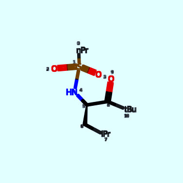 CCCS(=O)(=O)N[C@H](CC(C)C)C(=O)C(C)(C)C